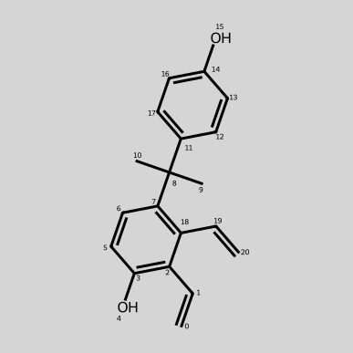 C=Cc1c(O)ccc(C(C)(C)c2ccc(O)cc2)c1C=C